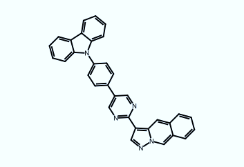 c1ccc2cn3ncc(-c4ncc(-c5ccc(-n6c7ccccc7c7ccccc76)cc5)cn4)c3cc2c1